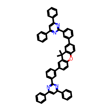 CC1(C)c2cc(-c3cccc(-c4nc(-c5ccccc5)cc(-c5ccccc5)n4)c3)ccc2Oc2ccc(-c3cccc(-c4nc(-c5ccccc5)cc(-c5ccccc5)n4)c3)cc21